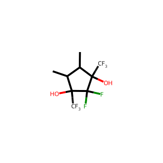 CC1C(C)C(O)(C(F)(F)F)C(F)(F)C1(O)C(F)(F)F